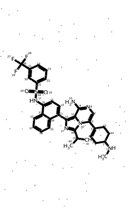 CNC1CC=C(c2cnc(N)c3c(-c4ccc(NS(=O)(=O)c5cccc(C(F)(F)F)c5)c5ccccc45)nc(C(C)C)n23)CC1